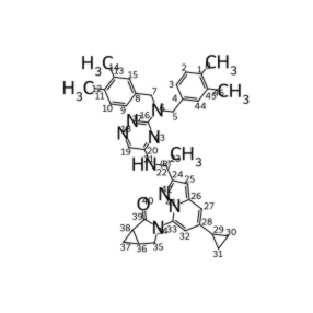 Cc1ccc(CN(Cc2ccc(C)c(C)c2)c2nncc(N[C@H](C)c3cc4cc(C5CC5)cc(N5CC6CC6C5=O)n4n3)n2)cc1C